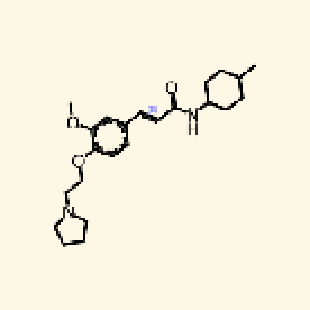 COc1cc(/C=C/C(=O)NC2CCC(C)CC2)ccc1OCCN1CCCC1